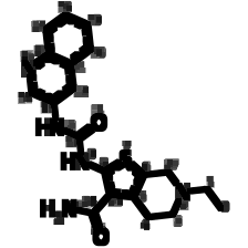 CCN1CCc2c(sc(NC(=O)Nc3cnc4ccccc4c3)c2C(N)=O)C1